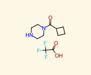 O=C(C1CCC1)N1CCNCC1.O=C(O)C(F)(F)F